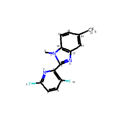 Cn1c(-c2nc(F)ccc2F)nc2cc(C(F)(F)F)ccc21